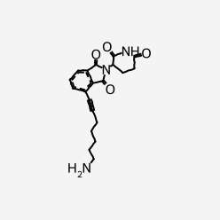 NCCCCCC#Cc1cccc2c1C(=O)N(C1CCC(=O)NC1=O)C2=O